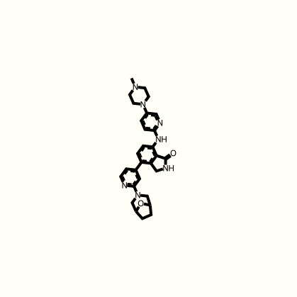 CN1CCN(c2ccc(Nc3ccc(-c4ccnc(N5CC6CCC(C5)O6)c4)c4c3C(=O)NC4)nc2)CC1